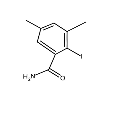 Cc1cc(C)c(I)c(C(N)=O)c1